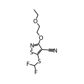 CCOCCOc1nsc(SC(F)F)c1C#N